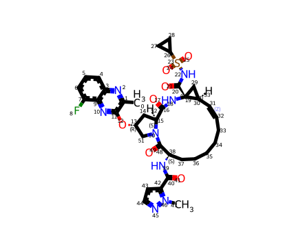 Cc1nc2cccc(F)c2nc1O[C@@H]1C[C@H]2C(=O)N[C@]3(C(=O)NS(=O)(=O)C4CC4)C[C@H]3/C=C\CCCCC[C@H](NC(=O)c3ccnn3C)C(=O)N2C1